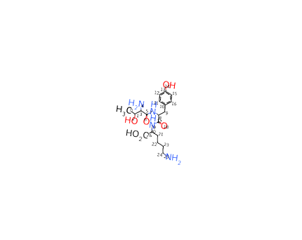 CC(O)C(N)C(=O)NC(Cc1ccc(O)cc1)C(=O)NC(CCCCN)C(=O)O